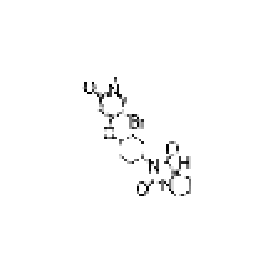 Cn1cc(Br)c(OC2CCC(N3C(=O)[C@H]4CCCN4C3=O)CC2)cc1=O